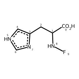 O=C(O)C(Cc1c[nH]cn1)NF